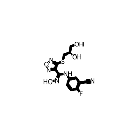 N#Cc1cc(N/C(=N/O)c2nonc2SC[C@H](O)CO)ccc1F